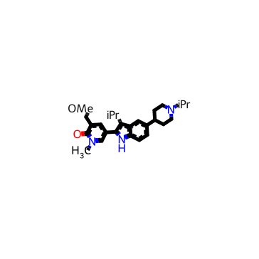 COCc1cc(-c2[nH]c3ccc(C4CCN(C(C)C)CC4)cc3c2C(C)C)cn(C)c1=O